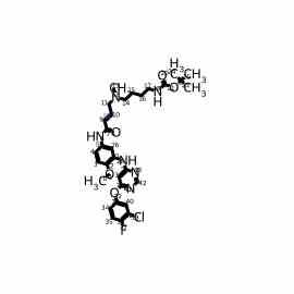 COc1ccc(NC(=O)/C=C/CN(C)CCCCNC(=O)OC(C)(C)C)cc1Nc1cc(Oc2ccc(F)c(Cl)c2)ncn1